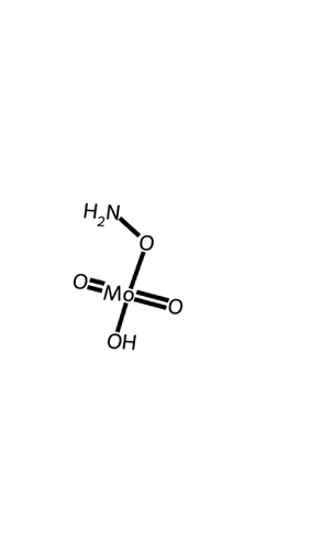 N[O][Mo](=[O])(=[O])[OH]